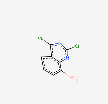 Bc1cccc2c(Cl)nc(Cl)nc12